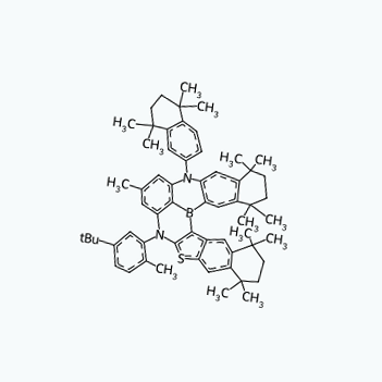 Cc1cc2c3c(c1)N(c1cc(C(C)(C)C)ccc1C)c1sc4cc5c(cc4c1B3c1cc3c(cc1N2c1ccc2c(c1)C(C)(C)CCC2(C)C)C(C)(C)CCC3(C)C)C(C)(C)CCC5(C)C